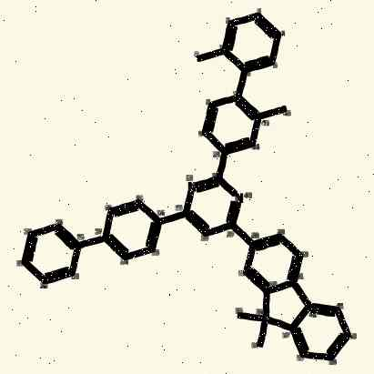 Cc1ccccc1-c1ccc(-c2nc(-c3ccc(-c4ccccc4)cc3)cc(-c3ccc4c(c3)C(C)(C)c3ccccc3-4)n2)cc1C